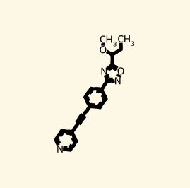 CCC(OC)c1nc(-c2ccc(C#Cc3ccncc3)cc2)no1